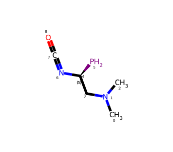 CN(C)C[C@H](P)N=C=O